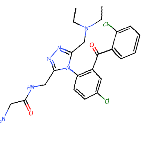 CCN(CC)Cc1nnc(CNC(=O)CN)n1-c1ccc(Cl)cc1C(=O)c1ccccc1Cl